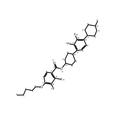 CCCCCOc1ccc(C(=O)OC2CCC(c3ccc(C4CCC(C)CC4)c(F)c3F)CC2)c(F)c1F